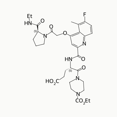 CCNC(=O)[C@@H]1CCCN1C(=O)COc1cc(C(=O)N[C@@H](CCC(=O)O)C(=O)N2CCN(C(=O)OCC)CC2)nc2ccc(F)c(C)c12